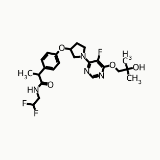 CC(C(=O)NCC(F)F)c1ccc(OC2CCN(c3ncnc(OCC(C)(C)O)c3F)C2)cc1